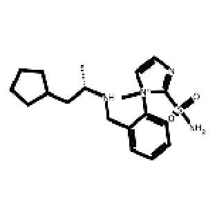 C[C@@H](CC1CCCC1)NCc1ccccc1[N+]1(C)C=CN=C1S(N)(=O)=O